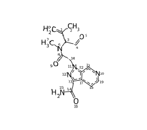 C=C(C)C(C=O)N(C)C(=O)Cn1nc(C(N)=O)c2ccncc21